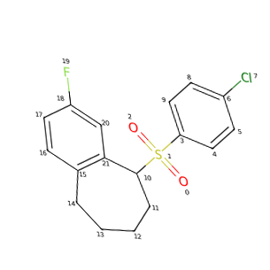 O=S(=O)(c1ccc(Cl)cc1)C1CCCCc2ccc(F)cc21